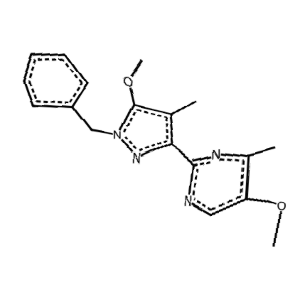 COc1cnc(-c2nn(Cc3ccccc3)c(OC)c2C)nc1C